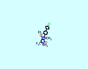 CC[S+]([O-])c1cc(-c2ccc(Cl)cc2)ccc1-c1nc2cc(C(F)(F)F)n(C)c(=O)c2n1C